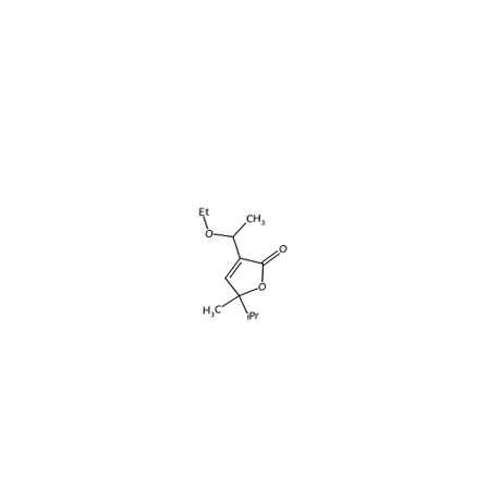 CCOC(C)C1=CC(C)(C(C)C)OC1=O